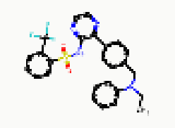 CCN(Cc1ccc(-c2nccnc2NS(=O)(=O)c2ccccc2C(F)(F)F)cc1)c1ccccc1